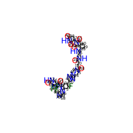 C[C@@H]1CN(c2cc(F)c(-c3cnc(N4CCN(C(=O)CCC(=O)NCCNc5cccc6c5C(=O)N(C5CCC(=O)NC5=O)C6=O)CC4)nc3)cc2NC(=O)c2c[nH]c(=O)cc2C(F)(F)F)C[C@H](C)N1C